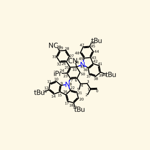 C=C(C)CC(C)C1=C(n2c3ccc(C(C)(C)C)cc3c3cc(C(C)(C)C)ccc32)C(C(C)C)=C(c2ccc(C#N)cc2)C(C#N)(n2c3ccc(C(C)(C)C)cc3c3cc(C(C)(C)C)ccc32)C1